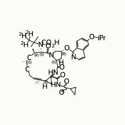 [2H]C([2H])([2H])C(C)(C)N(C(=O)O)[C@@H]1C(=O)N2C[C@H](Oc3nccc4cc(OC(C)C)ccc34)C[C@H]2C(=O)N[C@]2(C(=O)NS(=O)(=O)C3CC3)C[C@H]2/C=C\CC[C@H](C)C[C@H]1C